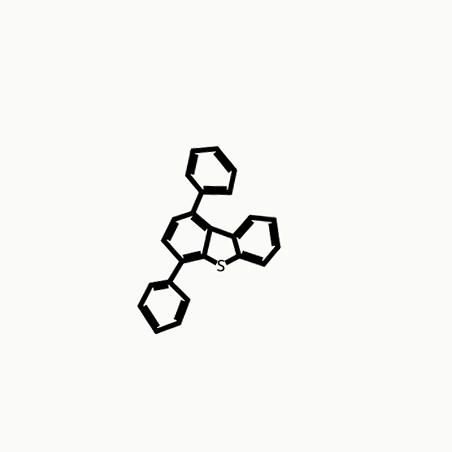 c1ccc(-c2ccc(-c3ccccc3)c3c2sc2ccccc23)cc1